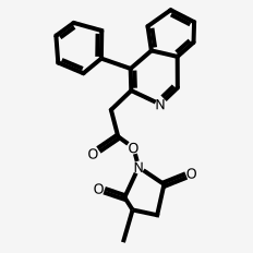 CC1CC(=O)N(OC(=O)Cc2ncc3ccccc3c2-c2ccccc2)C1=O